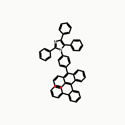 c1ccc(-c2ccccc2-c2c3ccccc3c(-c3ccc(-n4c(-c5ccccc5)nc(-c5ccccc5)c4-c4ccccc4)cc3)c3ccccc23)cc1